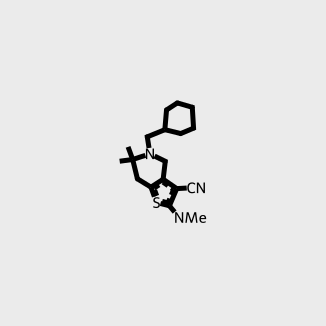 CNc1sc2c(c1C#N)CN(CC1CCCCC1)C(C)(C)C2